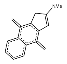 C=c1c2c(c(=C)c3ccccc13)CC(NC)=C2